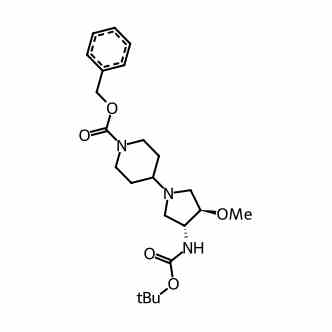 CO[C@@H]1CN(C2CCN(C(=O)OCc3ccccc3)CC2)C[C@H]1NC(=O)OC(C)(C)C